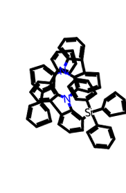 c1ccc(-c2cccc(-n3c4ccccc4c4cccc(-n5c6c(-c7ccccc7)cccc6c6cccc([Si](c7ccccc7)(c7ccccc7)c7ccccc7)c65)c43)c2)cc1